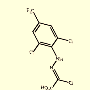 O=C(O)C(Cl)=NNc1c(Cl)cc(C(F)(F)F)cc1Cl